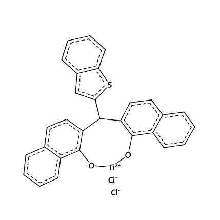 [Cl-].[Cl-].c1ccc2sc(C3c4ccc5ccccc5c4[O][Ti+2][O]c4c3ccc3ccccc43)cc2c1